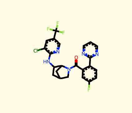 O=C(c1cc(F)ccc1-c1ncccn1)N1CC2CC(Nc3ncc(C(F)(F)F)cc3Cl)C1C2